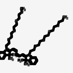 CCCOCCOCCOCCOCCN1/C(=C/C=C\C=C/C2=[N+](CCOCCOCCOCCOC)c3ccccc3C2(C)C)C(C)(C)c2ccccc21